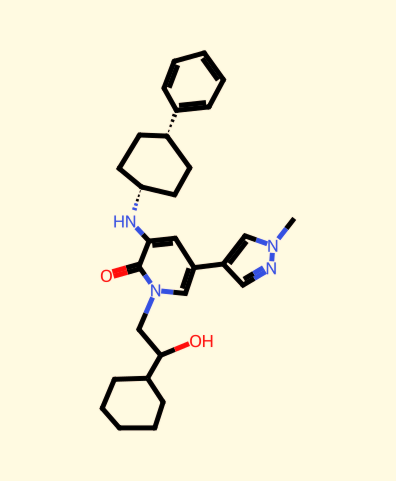 Cn1cc(-c2cc(N[C@H]3CC[C@@H](c4ccccc4)CC3)c(=O)n(CC(O)C3CCCCC3)c2)cn1